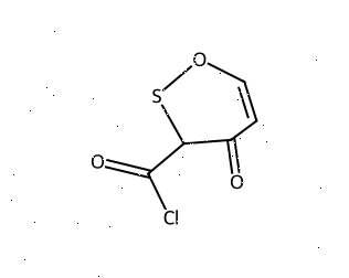 O=C(Cl)C1SOC=CC1=O